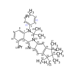 C/C=C\C(=C/C(C)C)N1c2cccc(C(C)C)c2-c2nc3cc4c(cc3n2C1(C)C)C(C)(C)C(C)(C)C4(C)C